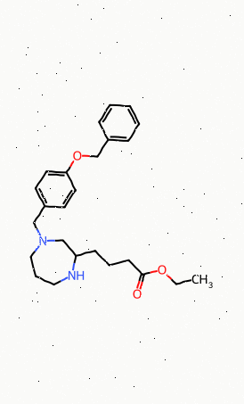 CCOC(=O)CCCC1CN(Cc2ccc(OCc3ccccc3)cc2)CCCN1